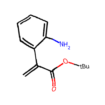 C=C(C(=O)OC(C)(C)C)c1ccccc1N